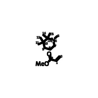 C=CC(=O)OC.CN1CCCC(C)(C)C1(C)C